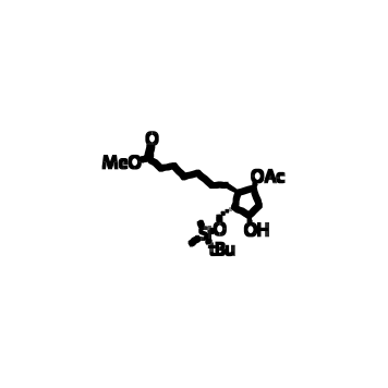 COC(=O)CCCCCC[C@@H]1[C@@H](CO[Si](C)(C)C(C)(C)C)[C@H](O)C[C@@H]1OC(C)=O